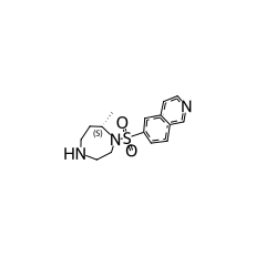 C[C@H]1CCNCCN1S(=O)(=O)c1ccc2cnccc2c1